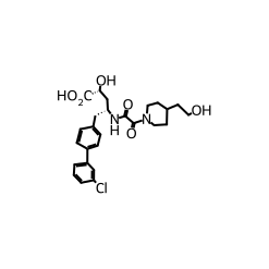 O=C(N[C@H](Cc1ccc(-c2cccc(Cl)c2)cc1)C[C@@H](O)C(=O)O)C(=O)N1CCC(CCO)CC1